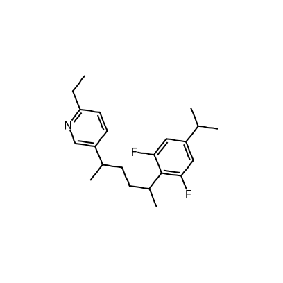 CCc1ccc(C(C)CCC(C)c2c(F)cc(C(C)C)cc2F)cn1